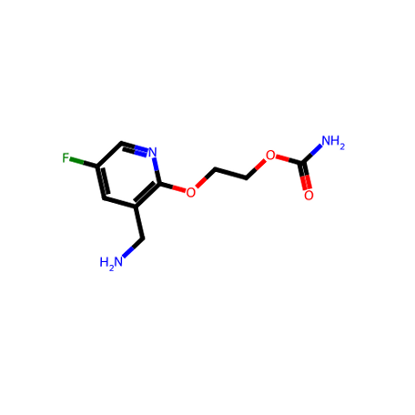 NCc1cc(F)cnc1OCCOC(N)=O